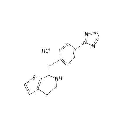 Cl.c1cnn(-c2ccc(CC3NCCc4ccsc43)cc2)n1